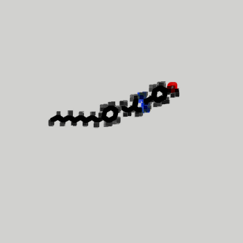 CCCCCCCCC[C@H]1CC[C@H](CCc2cnc(-c3ccc(OC)cc3)nc2)CC1